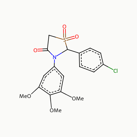 COc1cc(N2C(=O)CS(=O)(=O)C2c2ccc(Cl)cc2)cc(OC)c1OC